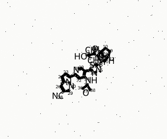 CC(C)(O)C(=O)N[C@@H]1[C@@H]2CC[C@H]1CN(c1nnc(-c3cnc(-c4ccc5cc(C#N)cnn45)cc3NC3COC3)s1)C2